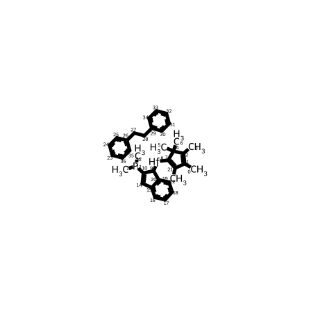 CC1=C(C)C(C)(C)[C]([Hf][CH]2C(P(C)C)=Cc3ccccc32)=C1C.c1ccc(CCc2ccccc2)cc1